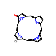 O=C1C=C2C=C3C=CC(=N3)C=c3ccc([nH]3)=CC3=NC(=CC1N2)C=C3.[Re]